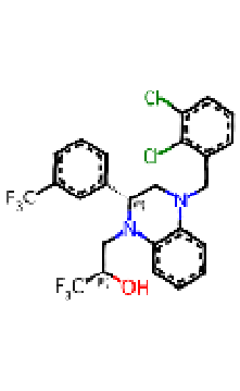 O[C@H](CN1c2ccccc2N(Cc2cccc(Cl)c2Cl)C[C@H]1c1cccc(C(F)(F)F)c1)C(F)(F)F